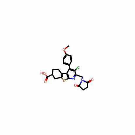 COc1ccc(-c2c(Cl)c(CN3C(=O)CCC3=O)nc3sc4c(c23)CCC(C(=O)O)C4)cc1